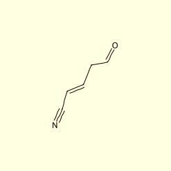 N#CC=CCC=O